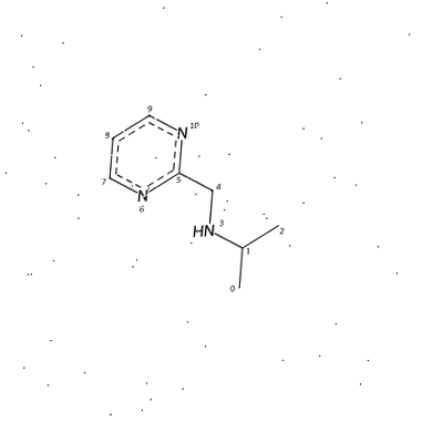 CC(C)NCc1ncccn1